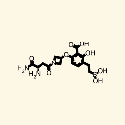 NC(=O)[C@H](N)CC(=O)N1CC(Oc2ccc(CCB(O)O)c(O)c2C(=O)O)C1